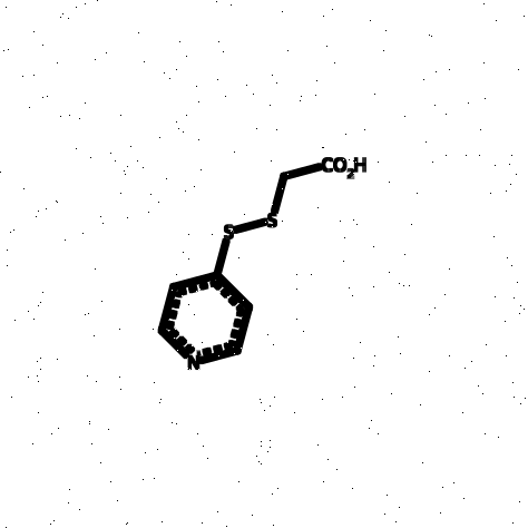 O=C(O)CSSc1ccncc1